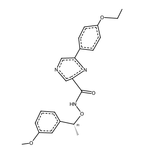 CCOc1ccc(-c2cncc(C(=O)NO[C@H](C)c3cccc(OC)c3)n2)cc1